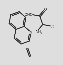 C=C.CCC(N)C(=O)C=O.c1ccc2ncccc2c1